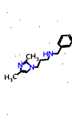 Cc1cn(CCCNCc2ccccc2)c(C)n1